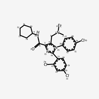 CCN(C)Cc1c(C(=O)NC2CCCCC2)nc(-c2ccc(Cl)cc2Cl)n1-c1ccc(Cl)cc1